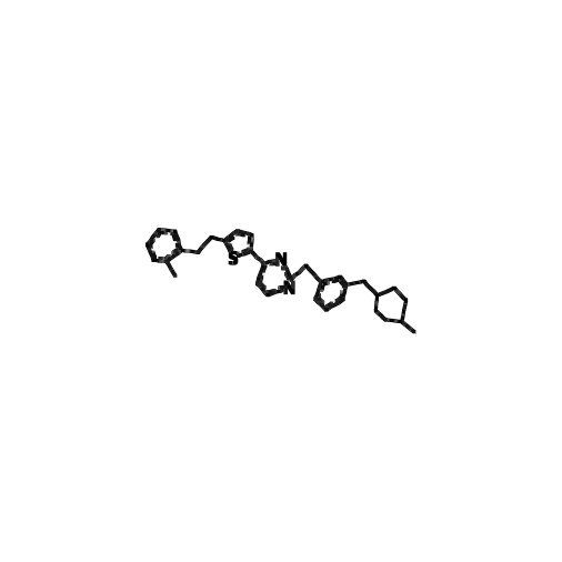 Cc1ccccc1CCc1ccc(-c2ccnc(Cc3cccc(CC4CCC(C)CC4)c3)n2)s1